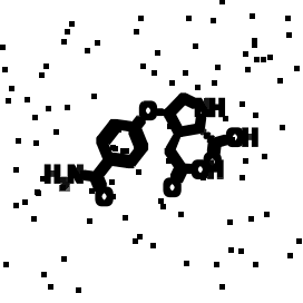 NC(=O)c1ccc(O[C@@H]2CN[C@H](C(=O)O)[C@H]2CC(=O)O)cc1